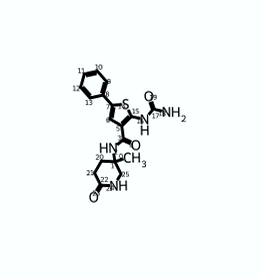 CC1(NC(=O)c2cc(-c3ccccc3)sc2NC(N)=O)CCC(=O)NC1